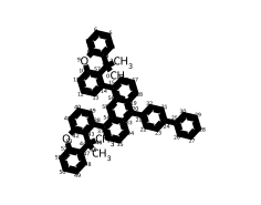 CC1(C)c2ccccc2Oc2cccc(-c3cccc4c(-c5ccc(-c6ccccc6)cc5)c5cccc(-c6cccc7c6C(C)(C)c6ccccc6O7)c5cc34)c21